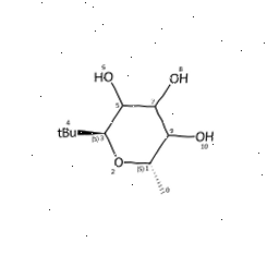 C[C@@H]1O[C@@H](C(C)(C)C)C(O)C(O)C1O